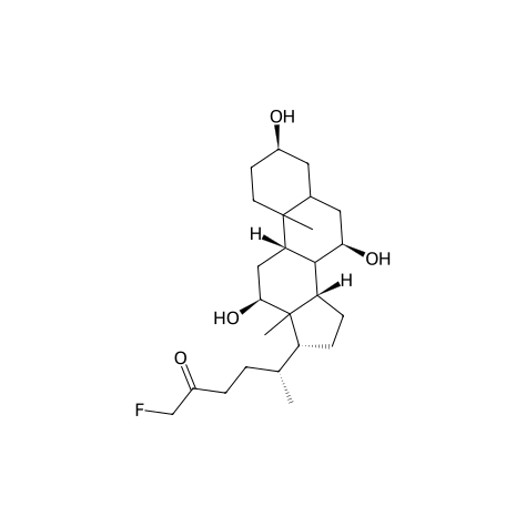 C[C@H](CCC(=O)CF)[C@H]1CC[C@H]2C3[C@H](O)CC4C[C@H](O)CCC4(C)[C@H]3C[C@H](O)C12C